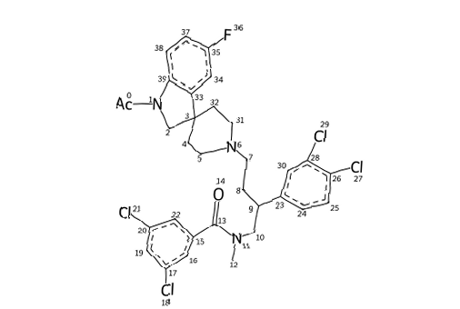 CC(=O)N1CC2(CCN(CCC(CN(C)C(=O)c3cc(Cl)cc(Cl)c3)c3ccc(Cl)c(Cl)c3)CC2)c2cc(F)ccc21